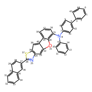 c1ccc(-c2ccc(N(c3ccccc3)c3cccc4c3oc3cc5nc(-c6ccc7ccccc7c6)sc5cc34)cc2)cc1